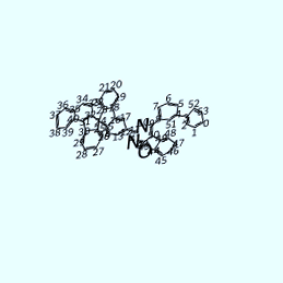 c1ccc(-c2cccc(-c3nc(-c4ccc5c(c4)-c4ccccc4C54c5ccccc5-c5c4ccc4ccccc54)nc4oc5ccccc5c34)c2)cc1